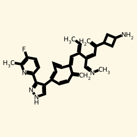 C=C1\C=C/C(c2c[nH]nc2-c2ccc(F)c(C)n2)=C/C=C/C1=C/C(=C\C)C(/C=N\C)=C\C(=C)C1CC(N)C1